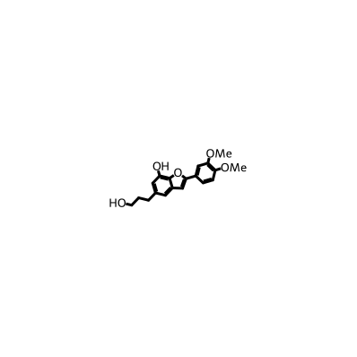 COc1ccc(-c2cc3cc(CCCO)cc(O)c3o2)cc1OC